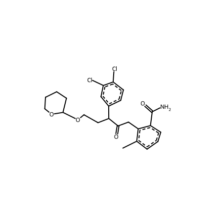 Cc1cccc(C(N)=O)c1CC(=O)C(CCOC1CCCCO1)c1ccc(Cl)c(Cl)c1